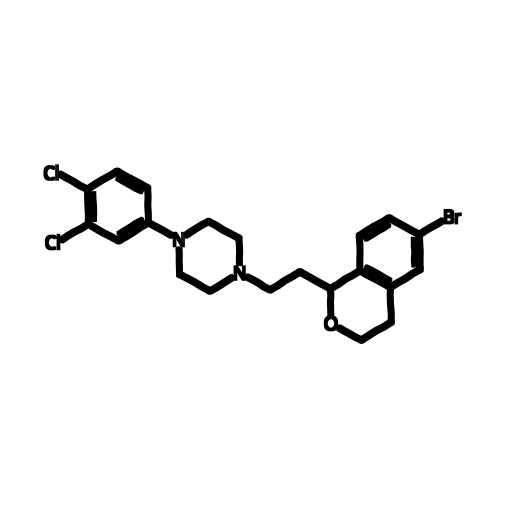 Clc1ccc(N2CCN(CCC3OCCc4cc(Br)ccc43)CC2)cc1Cl